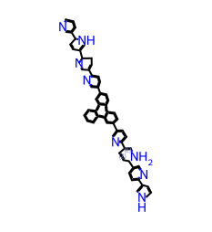 N/C=C(\C=C/Cc1ccc(C2=CNCC=C2)nc1)c1ccc(-c2ccc3c4ccc(-c5ccc(C6=CCC(C7=CNC(c8cccnc8)C=C7)N=C6)nc5)cc4c4ccccc4c3c2)cn1